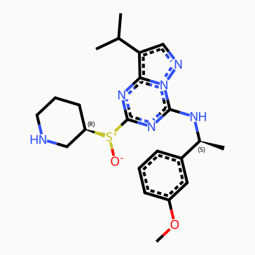 COc1cccc([C@H](C)Nc2nc([S+]([O-])[C@@H]3CCCNC3)nc3c(C(C)C)cnn23)c1